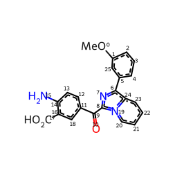 COc1cccc(-c2nc(C(=O)c3ccc(N)c(C(=O)O)c3)n3ccccc23)c1